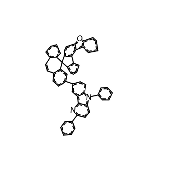 C1=Cc2ccc(-c3ccc4c(c3)c3nc(-c5ccccc5)ccc3n4-c3ccccc3)cc2C2(c3ccccc31)c1ccccc1-c1c2ccc2oc3ccccc3c12